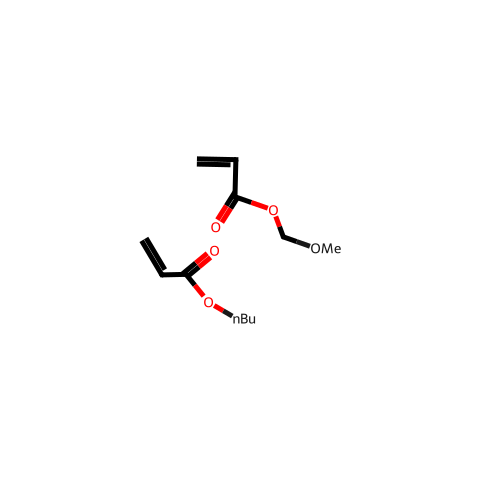 C=CC(=O)OCCCC.C=CC(=O)OCOC